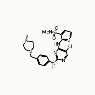 CNS(=O)(=O)c1cccnc1Nc1nc(Nc2ccc(CN3CCN(C)CC3)cc2)ncc1Cl